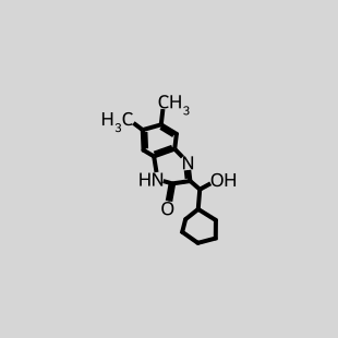 Cc1cc2nc(C(O)C3CCCCC3)c(=O)[nH]c2cc1C